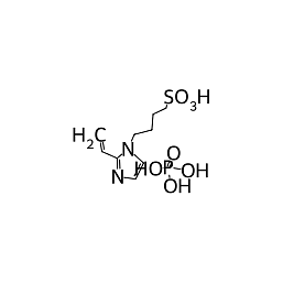 C=Cc1nccn1CCCCS(=O)(=O)O.O=P(O)(O)O